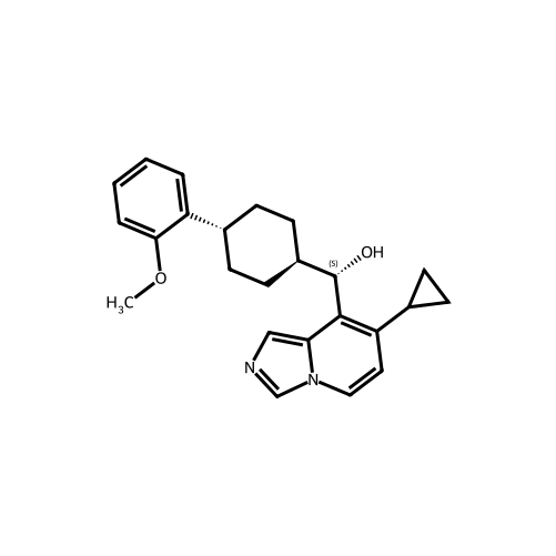 COc1ccccc1[C@H]1CC[C@H]([C@H](O)c2c(C3CC3)ccn3cncc23)CC1